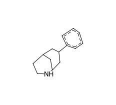 c1ccc(C2CC3CCNC(C3)C2)cc1